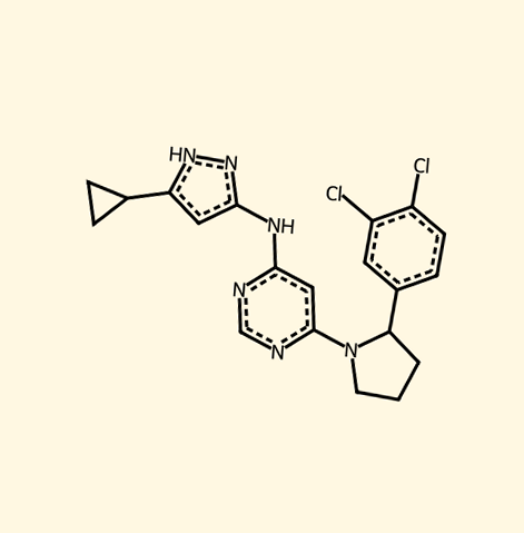 Clc1ccc(C2CCCN2c2cc(Nc3cc(C4CC4)[nH]n3)ncn2)cc1Cl